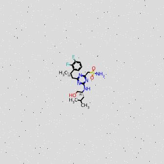 CC(C)C[C@H](CO)Nc1nc(C[C@H](C)c2cccc(F)c2F)nc(CS(N)(=O)=O)n1